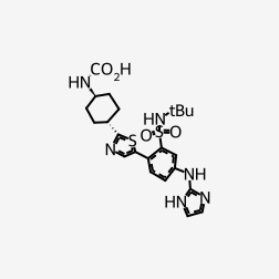 CC(C)(C)NS(=O)(=O)c1cc(Nc2ncc[nH]2)ccc1-c1cnc([C@H]2CC[C@H](NC(=O)O)CC2)s1